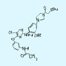 C=CC(=O)Nc1cccc(Oc2nc(Nc3ccc(N4CCN(C(=O)CC(C)(C)C)CC4)cc3OC)ncc2Cl)c1